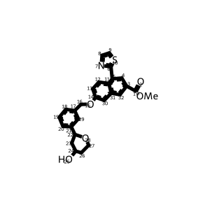 COC(=O)c1cc(-c2nccs2)c2ccc(OCc3cccc(C4CC(O)CCO4)c3)cc2c1